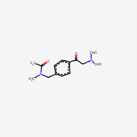 CN(Cc1ccc(C(=O)CN(C=O)C=O)cc1)C(=O)C(F)(F)F